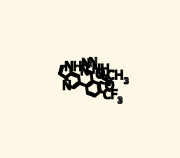 CS(=O)(=O)c1c(C(F)(F)F)ccc(-c2cnc3cc[nH]c3c2)c1-c1nnn[nH]1